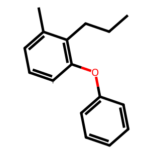 CCCc1c(Oc2ccccc2)[c]ccc1C